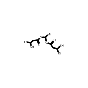 CCCC(OC(=O)CC(S)CC)OC(=O)CC(S)CC